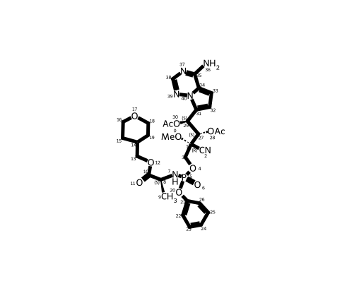 CO[C@](C#N)(COP(=O)(N[C@@H](C)C(=O)OCC1CCOCC1)Oc1ccccc1)[C@@H](OC(C)=O)[C@@H](OC(C)=O)c1ccc2c(N)ncnn12